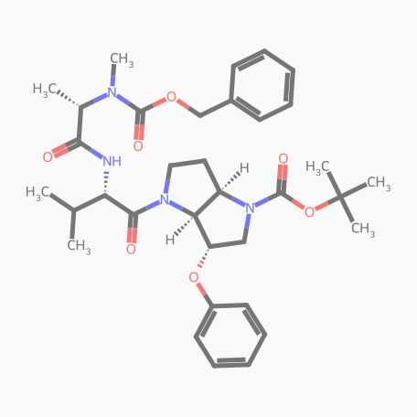 CC(C)[C@H](NC(=O)[C@H](C)N(C)C(=O)OCc1ccccc1)C(=O)N1CC[C@@H]2[C@H]1[C@@H](Oc1ccccc1)CN2C(=O)OC(C)(C)C